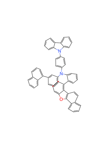 c1cc(-c2cccc3ccccc23)cc(N(c2ccc(-n3c4ccccc4c4ccccc43)cc2)c2ccccc2-c2cccc3oc4c5ccccc5ccc4c23)c1